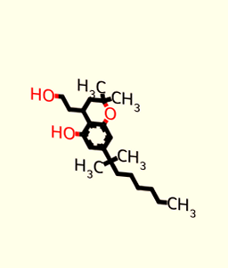 CCCCCCC(C)(C)c1cc(O)c2c(c1)OC(C)(C)CC2CCO